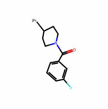 CC(C)C1CCN(C(=O)c2cccc(F)c2)CC1